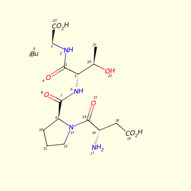 CC[C@H](C)[C@H](NC(=O)[C@@H](NC(=O)[C@@H]1CCCN1C(=O)[C@@H](N)CC(=O)O)[C@@H](C)O)C(=O)O